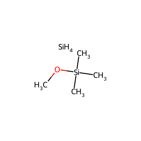 CO[Si](C)(C)C.[SiH4]